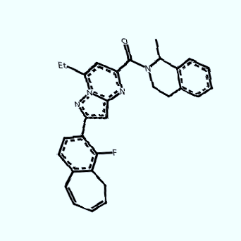 CCc1cc(C(=O)N2CCc3ccccc3C2C)nc2cc(-c3ccc4c(c3F)CC=CC=C4)nn12